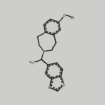 CC(C)Oc1ccc2c(c1)CCN(C(C)c1ccc3scnc3c1)CC2